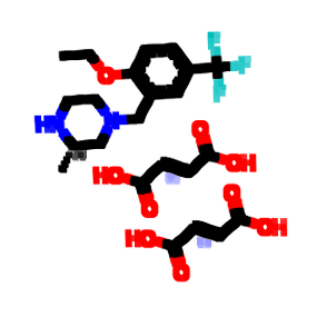 CCOc1ccc(C(F)(F)F)cc1CN1CCN[C@@H](C)C1.O=C(O)/C=C/C(=O)O.O=C(O)/C=C/C(=O)O